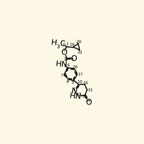 CC(OC(=O)Nc1ccc(C2=NNC(=O)CC2)cc1)C1CC1